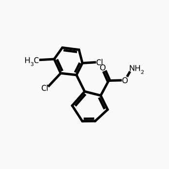 Cc1ccc(Cl)c(-c2ccccc2C(=O)ON)c1Cl